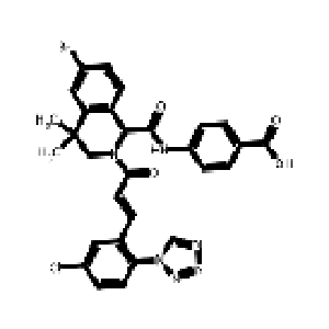 CC1(C)CN(C(=O)/C=C/c2cc(Cl)ccc2-n2cnnn2)C(C(=O)Nc2ccc(C(=O)O)cc2)c2ccc(Br)cc21